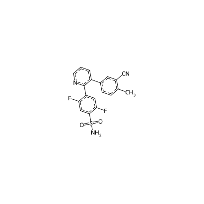 Cc1ccc(-c2cccnc2-c2cc(F)c(S(N)(=O)=O)cc2F)cc1C#N